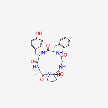 C[C@@H]1NC(=O)[C@H](Cc2ccc(O)cc2)NC(=O)[C@H](Cc2ccccc2)NC(=O)CNC(=O)[C@@H]2CCCN2C1=O